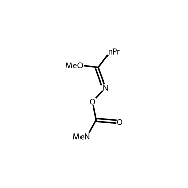 CCCC(=NOC(=O)NC)OC